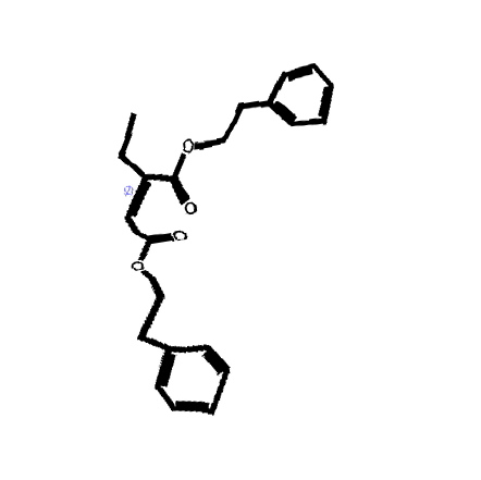 CC/C(=C/C(=O)OCCc1ccccc1)C(=O)OCCc1ccccc1